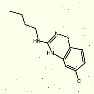 CCCCNC1=NSc2ccc(Cl)cc2N1